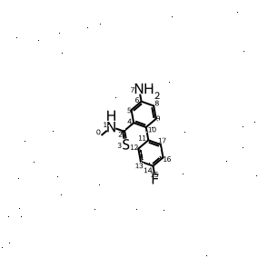 CNC(=S)c1cc(N)ccc1-c1ccc(F)cc1